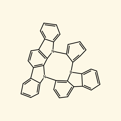 c1ccc2c(c1)B1c3ccccc3-n3c4ccccc4c4ccc5c6ccccc6n(c5c43)-c3cccc-2c31